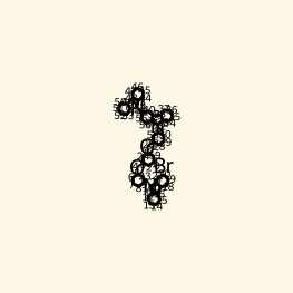 Brc1cc(Oc2cccc(-n3c4ccccc4c4ccccc43)c2)cc(Oc2cccc(-n3c4ccccc4c4cc(-n5c6ccccc6c6ccccc65)ccc43)c2)c1